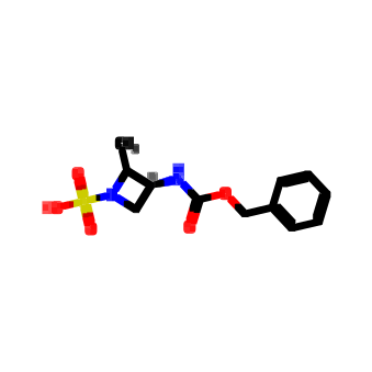 CC1[C@@H](NC(=O)OCc2ccccc2)CN1S(=O)(=O)O